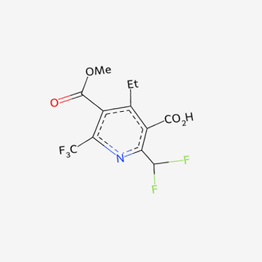 CCc1c(C(=O)O)c(C(F)F)nc(C(F)(F)F)c1C(=O)OC